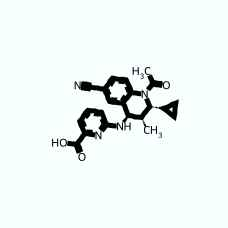 CC(=O)N1c2ccc(C#N)cc2[C@H](Nc2cccc(C(=O)O)n2)[C@@H](C)[C@H]1C1CC1